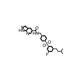 CC(C)CCc1cc(F)cc(S(=O)(=O)c2ccc(CNC(=O)c3cnc4[nH]ncc4c3)cc2)c1